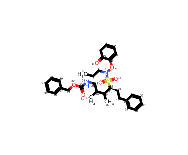 CCCN(OC1=CC=CCC1=O)S(=O)(=O)[C@@H](CCc1ccccc1)C(C)C(C)CNC(=O)OCc1ccccc1